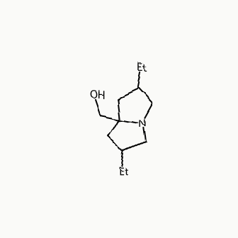 CCC1CN2CC(CC)CC2(CO)C1